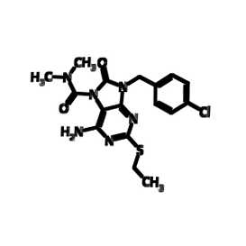 CCSc1nc(N)c2c(n1)n(Cc1ccc(Cl)cc1)c(=O)n2C(=O)N(C)C